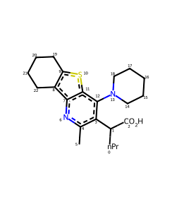 CCCC(C(=O)O)c1c(C)nc2c3c(sc2c1N1CCCCC1)CCCC3